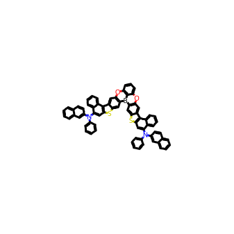 c1ccc(N(c2ccc3ccccc3c2)c2cc3sc4cc5c(cc4c3c3ccccc23)Oc2cccc3c2B5c2cc4sc5cc(N(c6ccccc6)c6ccc7ccccc7c6)c6ccccc6c5c4cc2O3)cc1